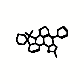 CC1CC2C(O1)B1C3=C(CCC=C3N3C4C1C=CCC4C1(CCCCC1)C3(C)C)N2C1C=CC=CC1